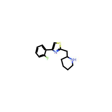 Fc1ccccc1-c1csc(CC2CCCCN2)n1